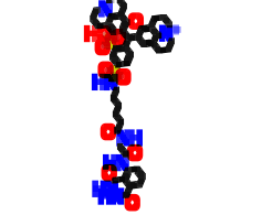 O=C(CCCCCNS(=O)(=O)c1ccc(C2=c3cc4c5c(c3Oc3c2cc2c6c3CCCN6CCC2)CCC[N+]=5CCC4)c(S(=O)(=O)O)c1)NCC(=O)Nc1cccc2c(=O)[nH][nH]c(=O)c12